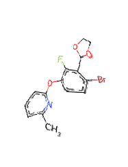 Cc1cccc(Oc2ccc(Br)c(C3OCCO3)c2F)n1